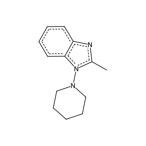 Cc1nc2ccccc2n1N1CCCCC1